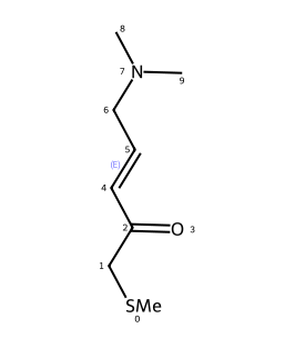 CSCC(=O)/C=C/CN(C)C